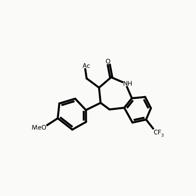 COc1ccc(C2Cc3cc(C(F)(F)F)ccc3NC(=O)C2CC(C)=O)cc1